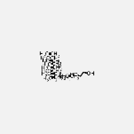 C=C.C=C.C=C.C=C.C=C.C=C.C=C.C=C.C=C.C=C.OCCO